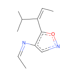 C/C=N\c1cnoc1/C(=C\C)C(C)C